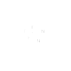 Cc1cnc(C(F)(F)F)n1C